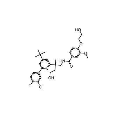 COc1cc(C(=O)NCC(C)(CCO)c2cc(C(C)(C)C)cc(-c3ccc(F)c(Cl)c3)n2)ccc1OCCO